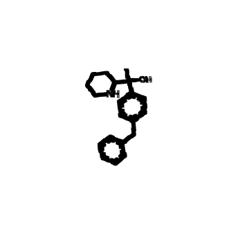 CC(O)(c1ccc(Cc2ccccc2)cc1)C1CCCCN1